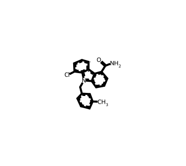 Cc1cccc(Cn2c3cccc(C(N)=O)c3c3[c]ccc(Cl)c32)c1